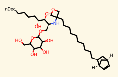 CCCCCCCCCCCCCC[C@@H](O)[C@@H](O)[C@H](COC1OC(CO)C(O)C(O)C1O)NC1(CCCCCCCCCC[C@H]2C[C@H]3C=C[C@@H]2C3)COC1